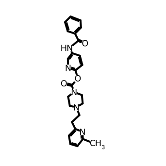 Cc1cccc(CCN2CCN(C(=O)Oc3ccc(NC(=O)c4ccccc4)cn3)CC2)n1